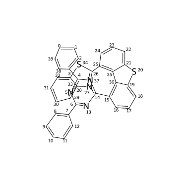 c1ccc(-c2nc(-c3ccccc3)nc(-c3cccc4sc5cccc(-c6nc7ccccc7s6)c5c34)n2)cc1